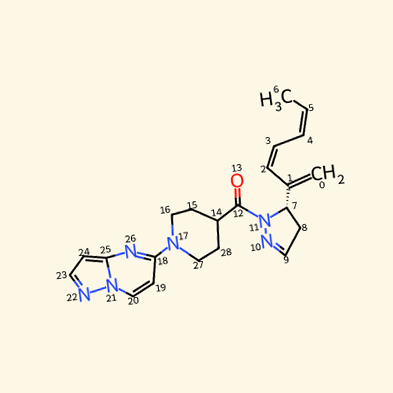 C=C(/C=C\C=C/C)[C@@H]1CC=NN1C(=O)C1CCN(c2ccn3nccc3n2)CC1